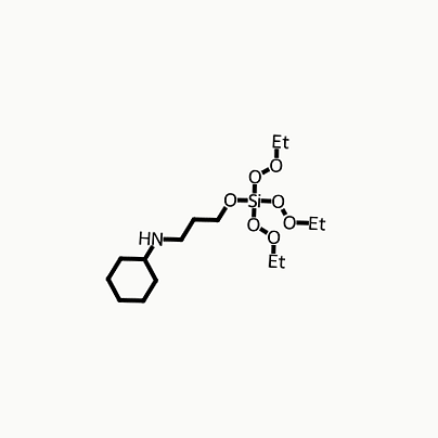 CCOO[Si](OCCCNC1CCCCC1)(OOCC)OOCC